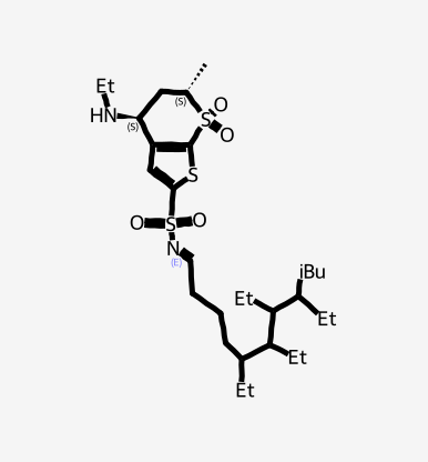 CCN[C@H]1C[C@H](C)S(=O)(=O)c2sc(S(=O)(=O)/N=C/CCCC(CC)C(CC)C(CC)C(CC)C(C)CC)cc21